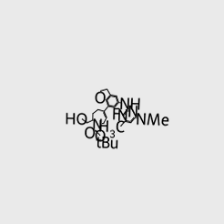 CNc1cc(C)nc(Nc2cc3c(c(C4=CCN(C(=O)OC(C)(C)C)C(CO)CC4)c2F)OCC3)n1